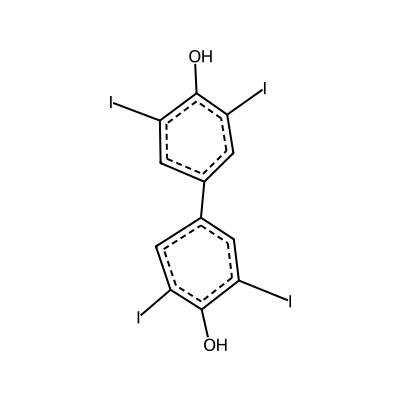 Oc1c(I)cc(-c2cc(I)c(O)c(I)c2)cc1I